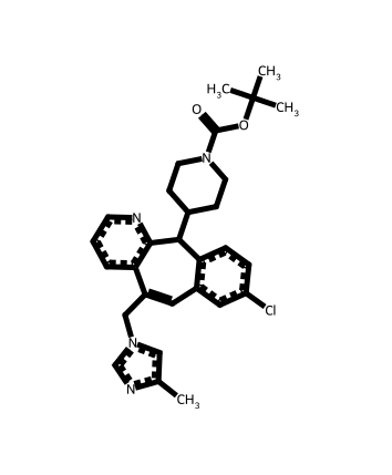 Cc1cn(CC2=Cc3cc(Cl)ccc3C(C3CCN(C(=O)OC(C)(C)C)CC3)c3ncccc32)cn1